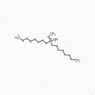 CCCCCCCC[PH](O)(CC)CCCCCCCC